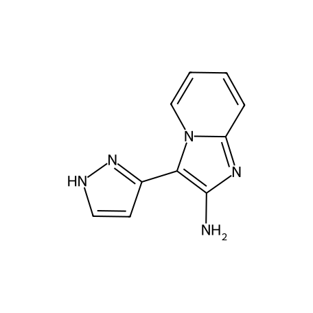 Nc1nc2ccccn2c1-c1cc[nH]n1